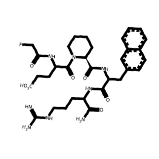 N=C(N)NCCCC(NC(=O)C(Cc1ccc2ccccc2c1)NC(=O)[C@@H]1CCCCN1C(=O)C(CCC(=O)O)NC(=O)CF)C(N)=O